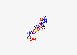 CCC(C)C(C(CC(=O)N1CCCC1C(CC(=O)NCCc1cccc(O)c1)SC)OC)N(C)C(=O)C(NC(=O)C(C(C)C)N(C)C)C(C)C